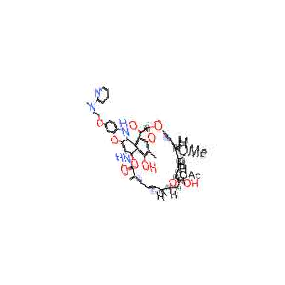 CO[C@H]1/C=C/O[C@@]2(C)Oc3c(C)c(O)c4c(c3C2=O)C2Nc3ccc(OCCN(C)c5ccccn5)cc3OC2=C(NC(=O)/C(C)=C\C=C\[C@H](C)[C@@H]2O[C@H]([C@H](O)[C@@H]2C)[C@H](OC(C)=O)[C@@H]1C)C4=O